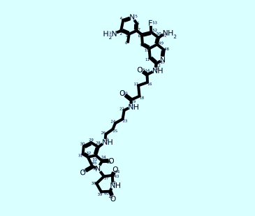 Cc1c(N)cncc1-c1cc2cc(NC(=O)CCCC(=O)NCCCCCNc3cccc4c3C(=O)N(C3CCC(=O)NC3=O)C4=O)ncc2c(N)c1F